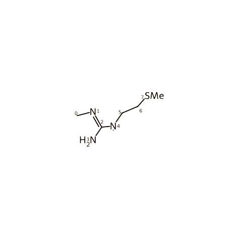 CN=C(N)[N]CCSC